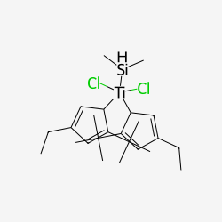 CCC1=C[CH]([Ti]([Cl])([Cl])([CH]2C=C(CC)C=C2C(C)(C)C)[SiH](C)C)C(C(C)(C)C)=C1